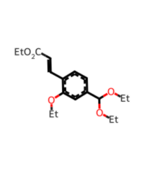 CCOC(=O)/C=C/c1ccc(C(OCC)OCC)cc1OCC